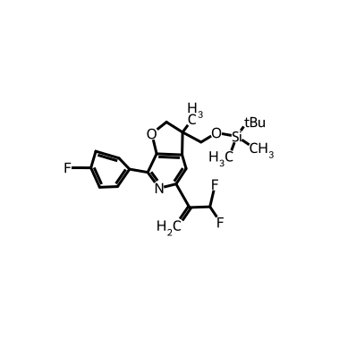 C=C(c1cc2c(c(-c3ccc(F)cc3)n1)OCC2(C)CO[Si](C)(C)C(C)(C)C)C(F)F